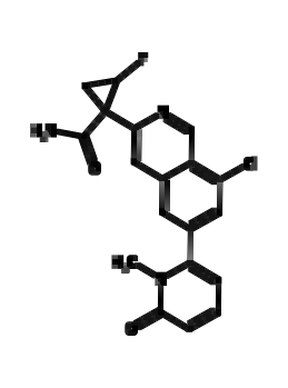 Cn1c(-c2cc(Cl)c3cnc(C4(C(N)=O)CC4F)cc3c2)cccc1=O